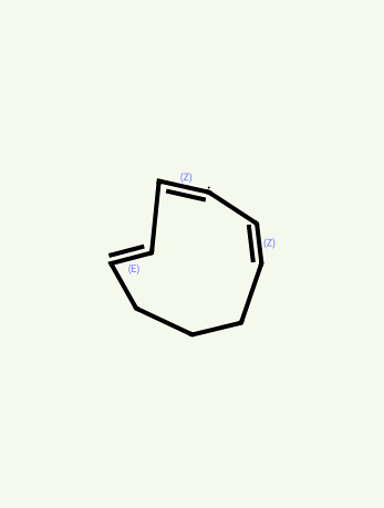 [C]1=C\C=C\CCC\C=C/1